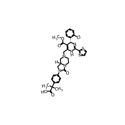 COC(=O)C1=C(CN2CCN3C(=O)N(c4ccc(C(C)(C)C(=O)O)cc4)C[C@@H]3C2)NC(c2nccs2)=N[C@H]1c1ccccc1Cl